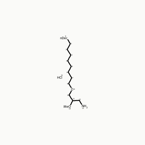 CCCCCCCCCCCCCCCCCCOCC(CN)OC.Cl